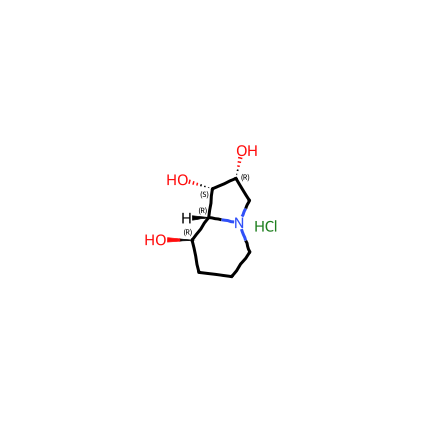 Cl.O[C@H]1[C@H]2[C@H](O)CCCN2C[C@H]1O